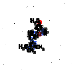 COc1ccc(C(=O)N2C[C@H]3CCN(c4cc(N(C)C)nc(C)n4)C[C@H]32)c(-n2cccn2)c1